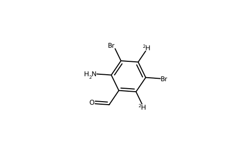 [2H]c1c(Br)c([2H])c(C=O)c(N)c1Br